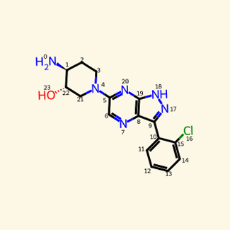 N[C@H]1CCN(c2cnc3c(-c4ccccc4Cl)n[nH]c3n2)C[C@@H]1O